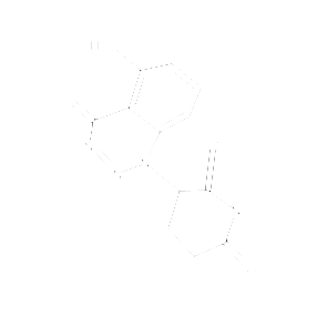 Cc1cccc2c1c(=O)nnn2C1CCC(=O)NC1=O